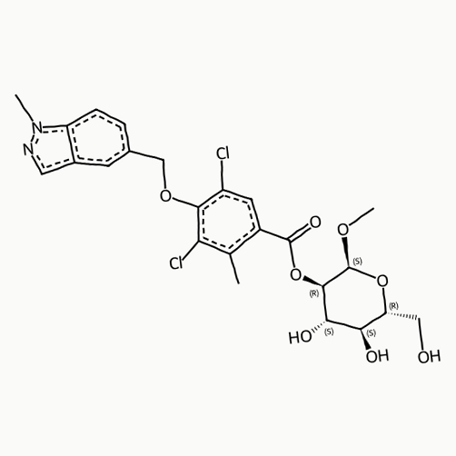 CO[C@H]1O[C@H](CO)[C@@H](O)[C@H](O)[C@H]1OC(=O)c1cc(Cl)c(OCc2ccc3c(cnn3C)c2)c(Cl)c1C